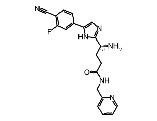 N#Cc1ccc(-c2cnc([C@@H](N)CCC(=O)NCc3ccccn3)[nH]2)cc1F